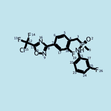 CP(=O)(Cc1ccc(-c2noc(C(F)(F)Cl)n2)cc1F)Nc1cccc(F)c1